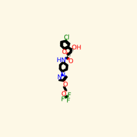 O=C(NC1CCC(n2cc(OCCOC(F)(F)F)cn2)CC1)[C@H]1C[C@H](O)c2cc(Cl)ccc2O1